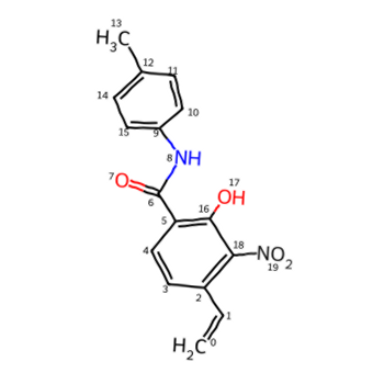 C=Cc1ccc(C(=O)Nc2ccc(C)cc2)c(O)c1[N+](=O)[O-]